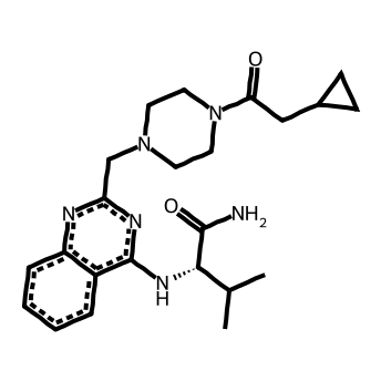 CC(C)[C@H](Nc1nc(CN2CCN(C(=O)CC3CC3)CC2)nc2ccccc12)C(N)=O